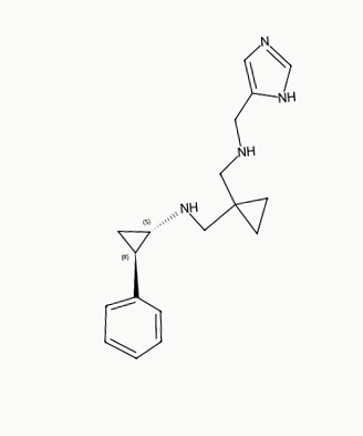 c1ccc([C@H]2C[C@@H]2NCC2(CNCc3cnc[nH]3)CC2)cc1